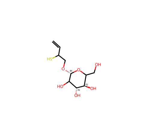 C=CC(S)CO[C@@H]1OC(CO)[C@@H](O)[C@H](O)C1O